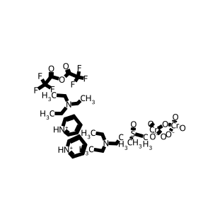 CCN(CC)CC.CCN(CC)CC.CS(C)=O.O=C(OC(=O)C(F)(F)F)C(F)(F)F.[O]=[Cr](=[O])([O-])[O][Cr](=[O])(=[O])[O-].c1cc[nH+]cc1.c1cc[nH+]cc1